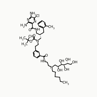 CCCCCCN(CCNC(=O)c1cccc(CCN(C[C@H](CNC(=O)c2nc(Cl)c(N)nc2N)Cc2ccccc2C)C(=O)OC(C)(C)C)c1)C[C@H](O)[C@@H](O)[C@H](O)[C@H](O)CO